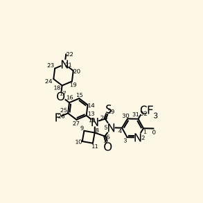 Cc1ncc(N2C(=O)C3(CCC3)N(c3ccc(OC4CCN(C)CC4)c(F)c3)C2=S)cc1C(F)(F)F